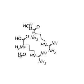 Cl.F.N=C(N)NCCC[C@H](N)C(=O)O.N=C(N)NCCC[C@H](N)C(=O)O.O